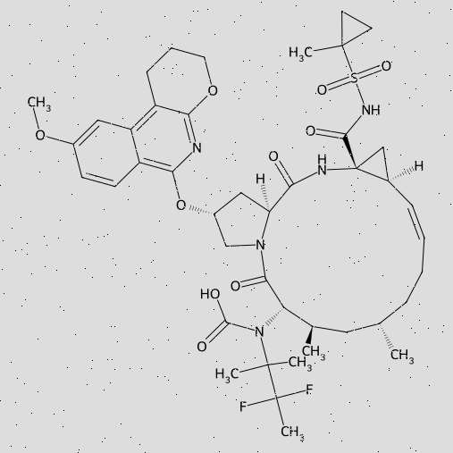 COc1ccc2c(O[C@@H]3C[C@H]4C(=O)N[C@]5(C(=O)NS(=O)(=O)C6(C)CC6)C[C@H]5/C=C\CC[C@H](C)C[C@@H](C)[C@H](N(C(=O)O)C(C)(C)C(C)(F)F)C(=O)N4C3)nc3c(c2c1)CCCO3